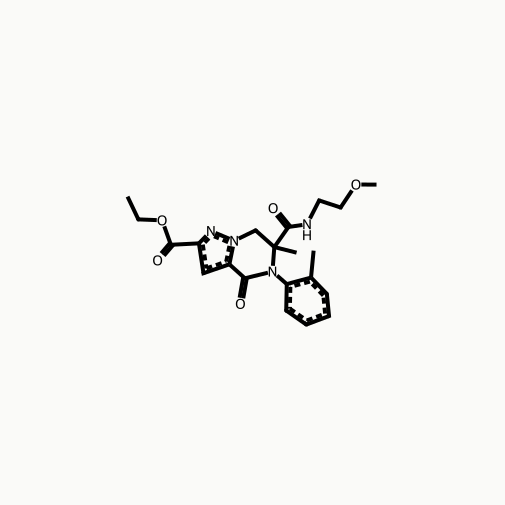 CCOC(=O)c1cc2n(n1)CC(C)(C(=O)NCCOC)N(c1ccccc1C)C2=O